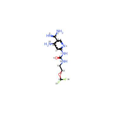 N=C(N)c1cnc(NC(=O)NCCOC(F)F)cc1N